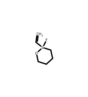 C=C[Si]1(F)CCCCO1